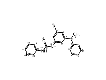 CC(c1cccnc1)c1cc(F)cc(NC(=O)Nc2cccnc2)c1